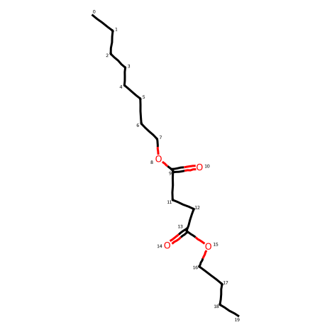 CCCCCCCCOC(=O)CCC(=O)OCCCC